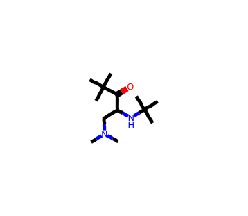 CN(C)CC(NC(C)(C)C)C(=O)C(C)(C)C